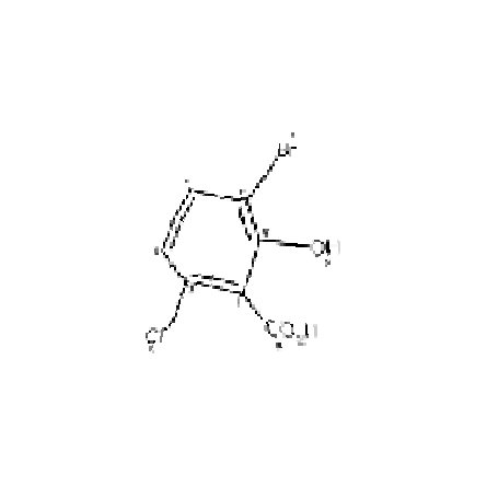 O=C(O)c1c(Cl)ccc(Br)c1O